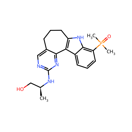 C[C@@H](CO)Nc1ncc2c(n1)-c1c([nH]c3c(P(C)(C)=O)cccc13)CCC2